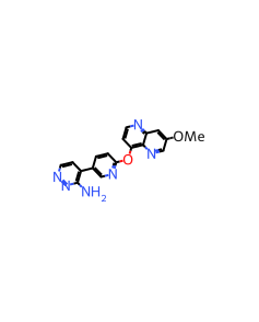 COc1cnc2c(Oc3ccc(-c4ccnnc4N)cn3)ccnc2c1